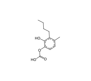 CCCCc1c(C)ccc(OC(=O)O)c1O